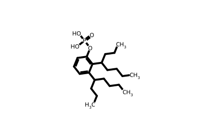 CCCCC(CCC)c1cccc(OP(=O)(O)O)c1C(CCC)CCCC